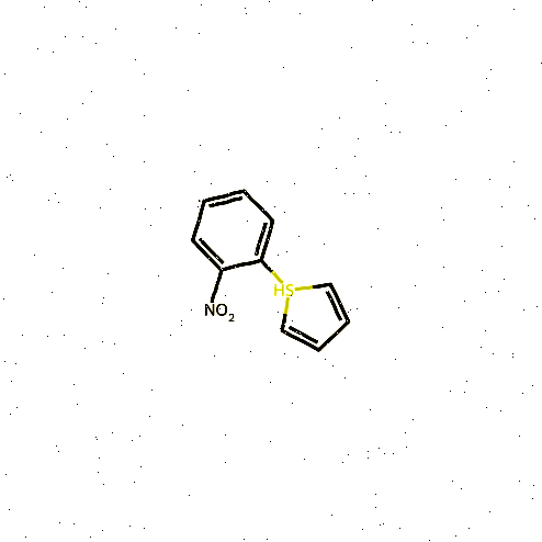 O=[N+]([O-])c1c[c]ccc1[SH]1C=CC=C1